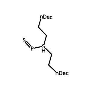 CCCCCCCCCCCC[SH](CCCCCCCCCCCC)P=S